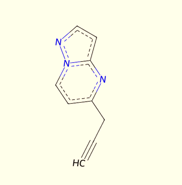 C#CCc1ccn2nccc2n1